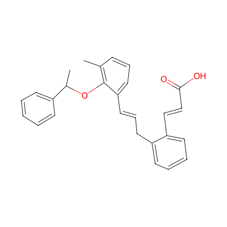 Cc1cccc(/C=C/Cc2ccccc2/C=C/C(=O)O)c1OC(C)c1ccccc1